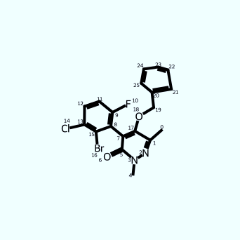 Cc1nn(C)c(=O)c(-c2c(F)ccc(Cl)c2Br)c1OCc1ccccc1